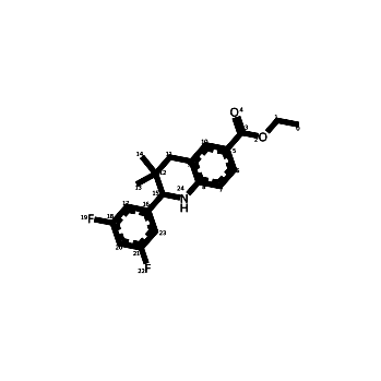 CCOC(=O)c1ccc2c(c1)CC(C)(C)C(c1cc(F)cc(F)c1)N2